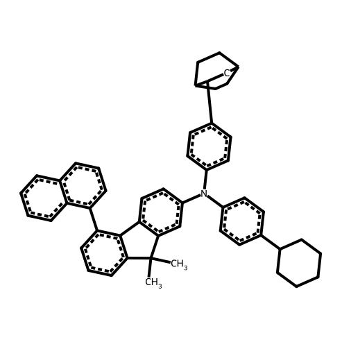 CC1(C)c2cc(N(c3ccc(C4CCCCC4)cc3)c3ccc(C4CC5CCC4CC5)cc3)ccc2-c2c(-c3cccc4ccccc34)cccc21